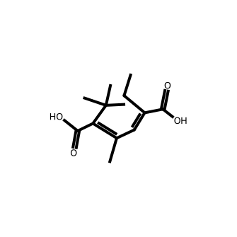 CCC(=CC(C)=C(C(=O)O)C(C)(C)C)C(=O)O